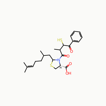 CC(C)=CCCC(C)CC1SC[C@@H](C(=O)O)N1C(=O)C(C)C(S)C(=O)c1ccccc1